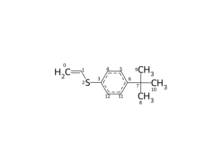 C=CSc1ccc(C(C)(C)C)cc1